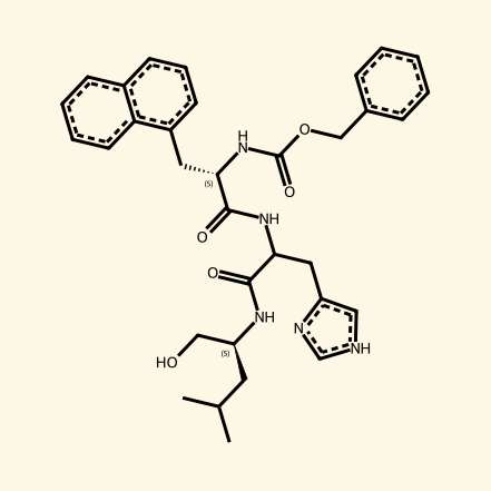 CC(C)C[C@@H](CO)NC(=O)C(Cc1c[nH]cn1)NC(=O)[C@H](Cc1cccc2ccccc12)NC(=O)OCc1ccccc1